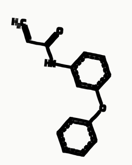 C=CC(=O)Nc1cccc(Oc2ccccc2)c1